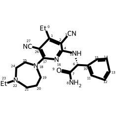 CCc1c(C#N)c(N[C@@H](C(N)=O)c2ccccc2)nc(N2CCCN(CC)CC2)c1C#N